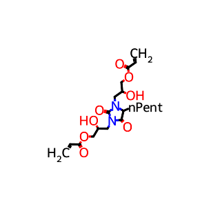 C=CC(=O)OCC(O)CN1C(=O)C(CCCCC)N(CC(O)COC(=O)C=C)C1=O